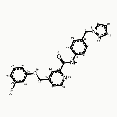 O=C(Nc1ccc(Cn2cccn2)cc1)c1cc(COc2cccc(F)c2)ccn1